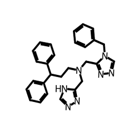 c1ccc(Cn2cnnc2CN(CCC(c2ccccc2)c2ccccc2)Cc2nnc[nH]2)cc1